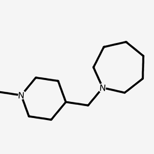 CN1CCC(CN2CCCCCC2)CC1